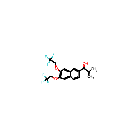 CC(C)C(O)c1ccc2cc(OCC(F)(F)F)c(OCC(F)(F)F)cc2c1